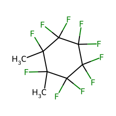 CC1(F)C(C)(F)C(F)(F)C(F)(F)C(F)(F)C1(F)F